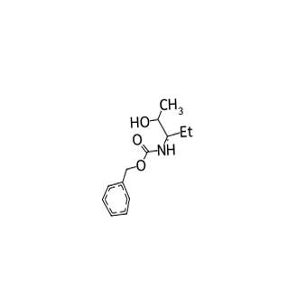 CC[C](NC(=O)OCc1ccccc1)C(C)O